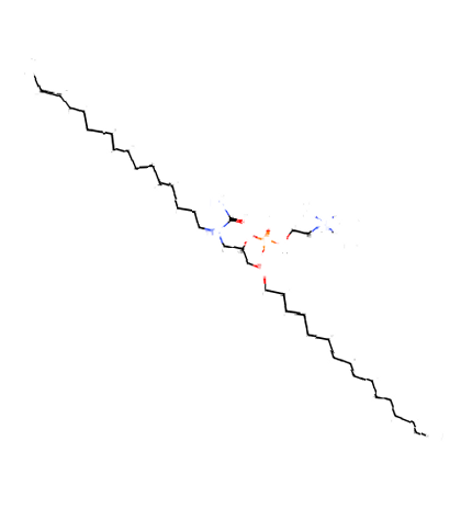 CCCCCCCCCCCCCCCCOCC(CN(CCCCCCCCCCCCCCCC)C(N)=O)OP(=O)([O-])OCC[N+](C)(C)C